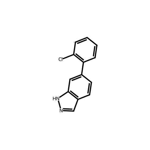 Clc1[c]cccc1-c1ccc2cn[nH]c2c1